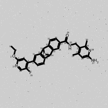 CCOc1cc(-c2ccc3c(c2)C2OC3c3cc(C(=O)NCc4c(C)cc(N)nc4C)ccc32)c(F)cn1